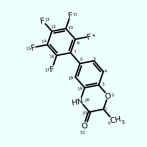 CC1Oc2ccc(-c3c(F)c(F)c(F)c(F)c3F)cc2NC1=O